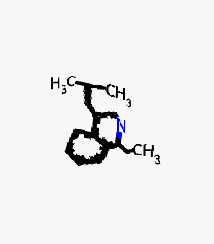 CCc1ncc(CC(C)C)c2ccccc12